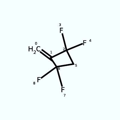 C=C1C(F)(F)CC1(F)F